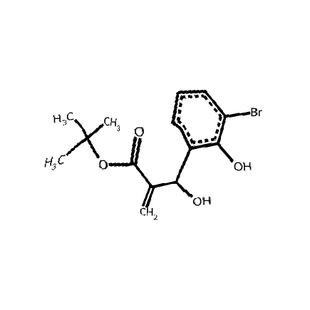 C=C(C(=O)OC(C)(C)C)C(O)c1cccc(Br)c1O